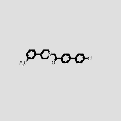 O=C(CN1CC=C(c2cccc(C(F)(F)F)c2)CC1)c1ccc(-c2ccc(Cl)cc2)cc1